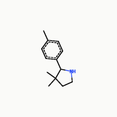 Cc1ccc(C2NCCC2(C)C)cc1